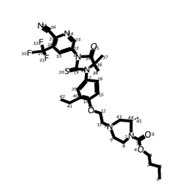 CCCCOC(=O)N1CCN(CCOc2ccc(N3C(=S)N(c4cnc(C#N)c(C(F)(F)F)c4)C(=O)C3(C)C)cc2CC)C[C@@H]1C